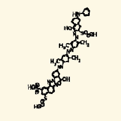 Cc1cc(N=Nc2cc(C)c(N=Nc3c(SOOO)cc4cc(Nc5ccccc5)ccc4c3O)cc2C)c(C)cc1N=Nc1ccc(-n2nc3ccc4c(SOOO)cc(S(=O)(=O)O)cc4c3n2)c(C(=O)O)c1